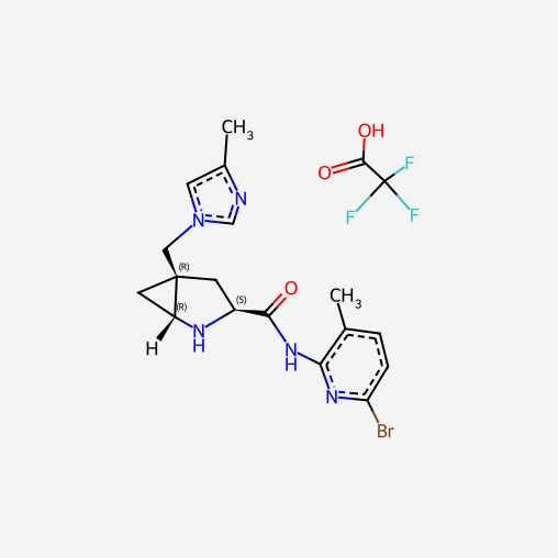 Cc1cn(C[C@@]23C[C@@H](C(=O)Nc4nc(Br)ccc4C)N[C@@H]2C3)cn1.O=C(O)C(F)(F)F